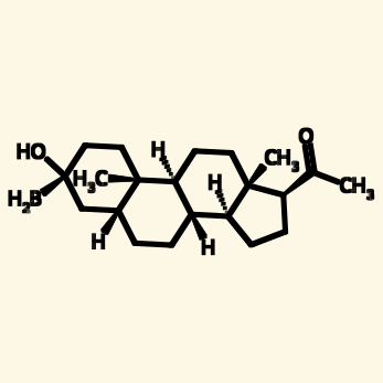 B[C@@]1(O)CC[C@@]2(C)[C@H](CC[C@@H]3[C@@H]2CC[C@]2(C)[C@@H](C(C)=O)CC[C@@H]32)C1